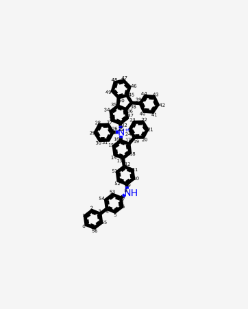 c1ccc(-c2ccc(Nc3ccc(-c4ccc5c(c4)-c4ccccc4[N+]5(c4ccccc4)c4ccc5c(c4)C(c4ccccc4)c4ccccc4-5)cc3)cc2)cc1